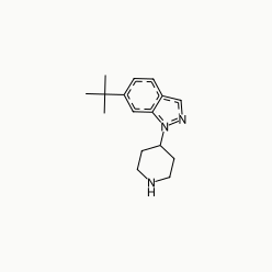 CC(C)(C)c1ccc2cnn(C3CCNCC3)c2c1